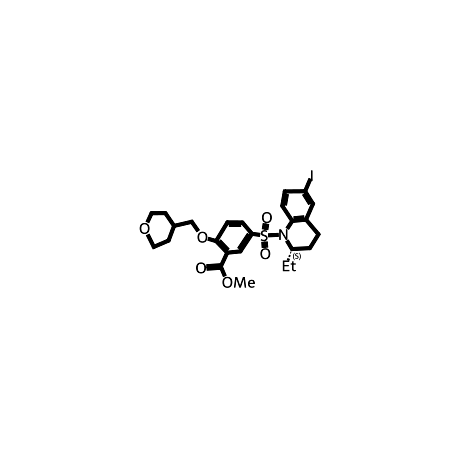 CC[C@H]1CCc2cc(I)ccc2N1S(=O)(=O)c1ccc(OCC2CCOCC2)c(C(=O)OC)c1